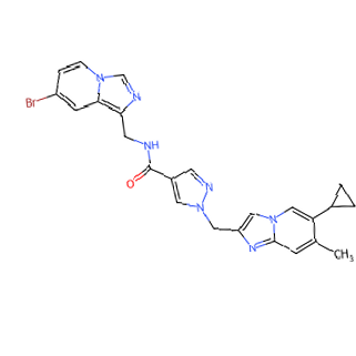 Cc1cc2nc(Cn3cc(C(=O)NCc4ncn5ccc(Br)cc45)cn3)cn2cc1C1CC1